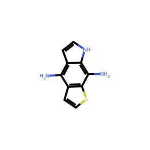 Nc1c2cc[nH]c2c(N)c2sccc12